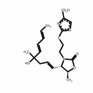 C/C=C/C=C/C(C)(O)C/C=C/[C@H]1[C@H](C)OC(=O)N1CCSc1nc(C(=O)O)cs1